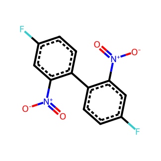 O=[N+]([O-])c1cc(F)ccc1-c1ccc(F)cc1[N+](=O)[O-]